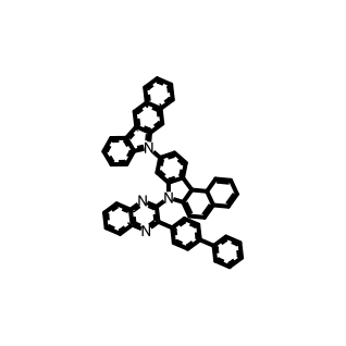 C1=CC2=CC=C3C(c4ccc(-n5c6ccccc6c6cc7ccccc7cc65)cc4N3c3nc4ccccc4nc3-c3ccc(-c4ccccc4)cc3)C2C=C1